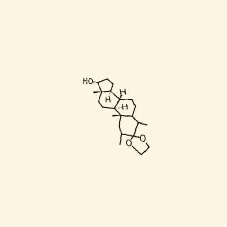 CC1C[C@@]2(C)C(CC[C@@H]3[C@@H]2CC[C@]2(C)C(O)CC[C@@H]32)C(C)C12OCCO2